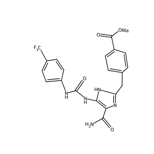 COC(=O)c1ccc(Cc2nc(C(N)=O)c(NC(=O)Nc3ccc(C(F)(F)F)cc3)[nH]2)cc1